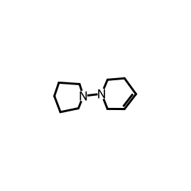 C1=CCN(N2CCCCC2)CC1